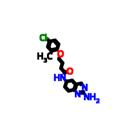 Cc1cc(Cl)ccc1OCCCC(=O)NC1CCc2nc(N)ncc2C1